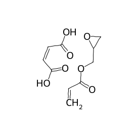 C=CC(=O)OCC1CO1.O=C(O)/C=C\C(=O)O